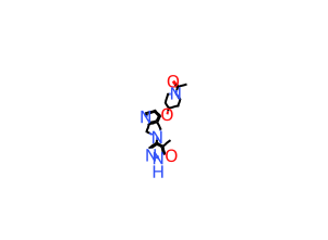 CC(=O)N1CCC(Oc2ccnc3c2CN(c2cn[nH]c(=O)c2C)C3)CC1